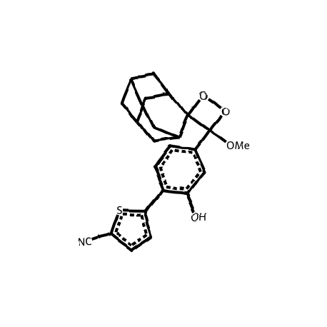 COC1(c2ccc(-c3ccc(C#N)s3)c(O)c2)OOC12C1CC3CC(C1)CC2C3